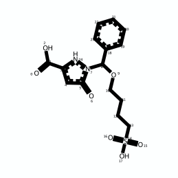 O=C(O)c1cc(=O)n(C(OCCCCS(=O)(=O)O)c2ccccc2)[nH]1